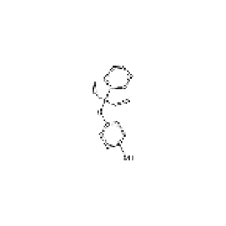 C=CC(C=C)(Oc1ccc(O)cc1)c1ccccc1